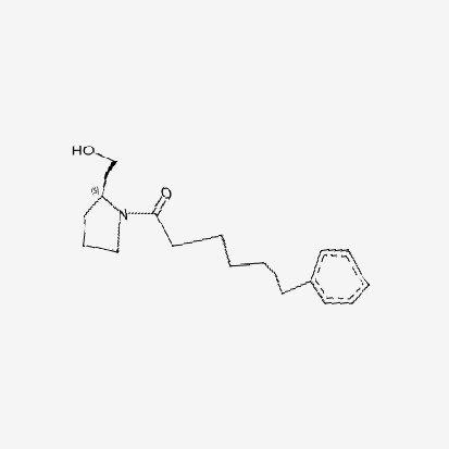 O=C(CCCCCc1ccccc1)N1CCC[C@H]1CO